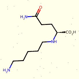 NCCCCCN[C@@H](CCC(N)=O)C(=O)O